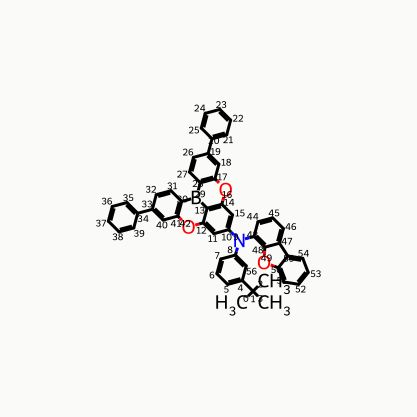 CC(C)(C)c1cccc(N(c2cc3c4c(c2)Oc2cc(-c5ccccc5)ccc2B4c2ccc(-c4ccccc4)cc2O3)c2cccc3c2oc2ccccc23)c1